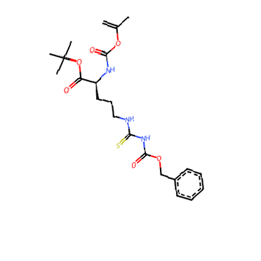 C=C(C)OC(=O)N[C@@H](CCCNC(=S)NC(=O)OCc1ccccc1)C(=O)OC(C)(C)C